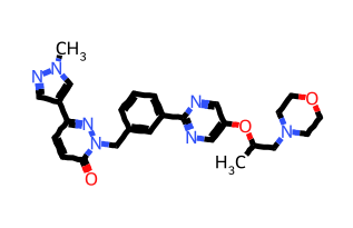 CC(CN1CCOCC1)Oc1cnc(-c2cccc(Cn3nc(-c4cnn(C)c4)ccc3=O)c2)nc1